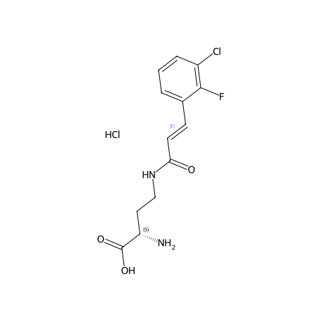 Cl.N[C@@H](CCNC(=O)/C=C/c1cccc(Cl)c1F)C(=O)O